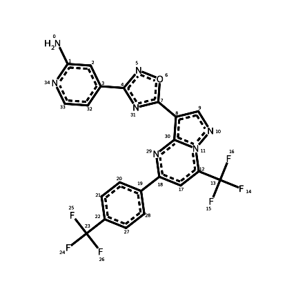 Nc1cc(-c2noc(-c3cnn4c(C(F)(F)F)cc(-c5ccc(C(F)(F)F)cc5)nc34)n2)ccn1